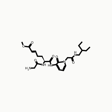 CCC(CC)CNC(=O)Cn1cccc(NC(=O)[C@H](CC/C=C/C(=O)OC)NC(=O)CN)c1=O